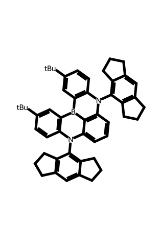 CC(C)(C)c1ccc2c(c1)B1c3cc(C(C)(C)C)ccc3N(c3c4c(cc5c3CCC5)CCC4)c3cccc(c31)N2c1c2c(cc3c1CCC3)CCC2